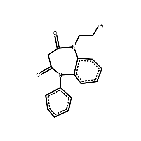 CC(C)CCN1C(=O)CC(=O)N(c2ccccc2)c2ccccc21